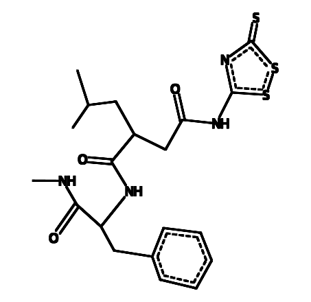 CNC(=O)C(Cc1ccccc1)NC(=O)C(CC(=O)Nc1nc(=S)ss1)CC(C)C